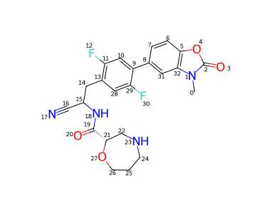 Cn1c(=O)oc2ccc(-c3cc(F)c(CC(C#N)NC(=O)[C@@H]4CNCCCO4)cc3F)cc21